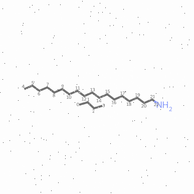 CCCC.CCCCCCCCCCCCCCCCCCN